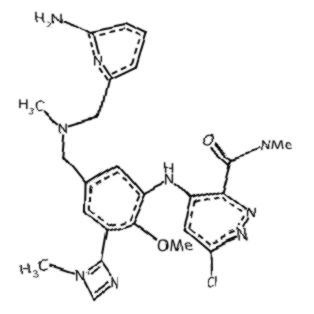 CNC(=O)c1nnc(Cl)cc1Nc1cc(CN(C)Cc2cccc(N)n2)cc(C2=[N+](C)C=N2)c1OC